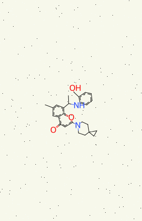 Cc1cc(C(C)Nc2ccccc2CO)c2oc(N3CCC4(CC3)CC4)cc(=O)c2c1